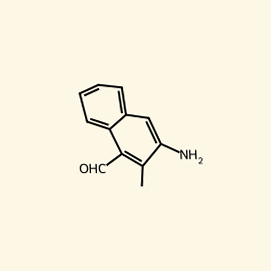 Cc1c(N)cc2ccccc2c1C=O